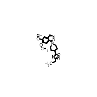 CCc1noc(C2CCN(c3nncc4cc(OC)c(OC)cc34)CC2)n1